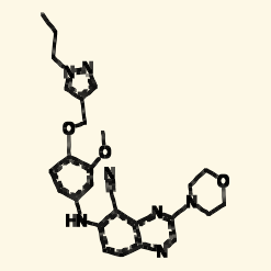 CCCn1cc(COc2ccc(Nc3ccc4ncc(N5CCOCC5)nc4c3C#N)cc2OC)cn1